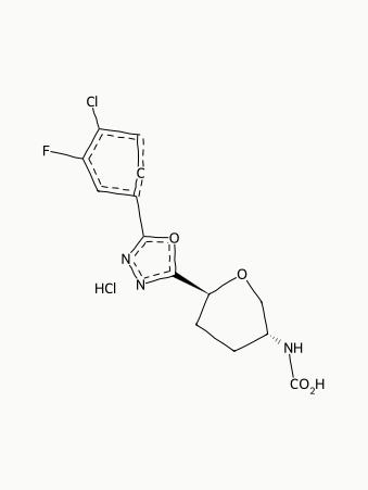 Cl.O=C(O)N[C@@H]1CC[C@@H](c2nnc(-c3ccc(Cl)c(F)c3)o2)OC1